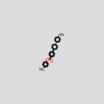 CCC[C@H]1CC[C@H](C2CCC(c3ccc(C(=O)Oc4ccc(C#N)cc4)cc3)CC2)CC1